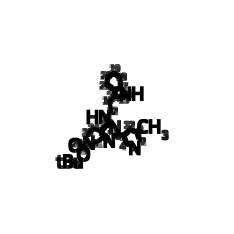 Cc1cncc(-c2nc3c(c(NCCc4c[nH]c5ccccc45)n2)CCN(C(=O)OC(C)(C)C)C3)c1